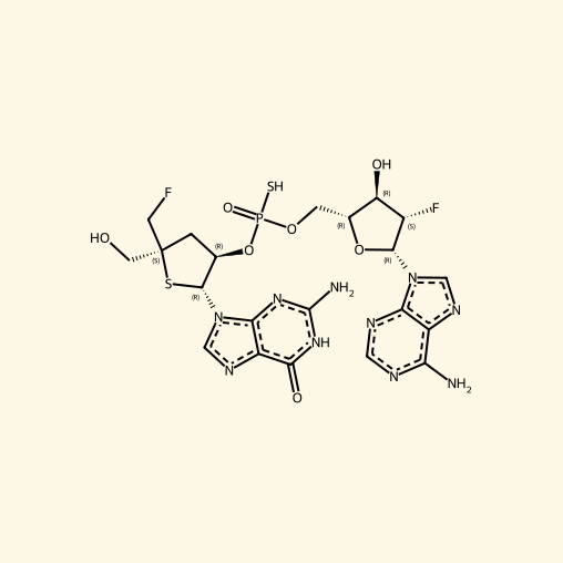 Nc1nc2c(ncn2[C@@H]2S[C@@](CO)(CF)C[C@H]2OP(=O)(S)OC[C@H]2O[C@@H](n3cnc4c(N)ncnc43)[C@@H](F)[C@@H]2O)c(=O)[nH]1